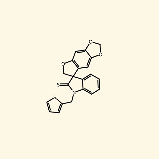 S=C1N(Cc2cccs2)c2ccccc2C12COc1cc3c(cc12)OCO3